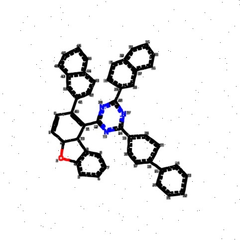 C1=CC2Oc3ccccc3C2C(c2nc(-c3ccc(-c4ccccc4)cc3)nc(-c3ccc4ccccc4c3)n2)=C1c1ccc2ccccc2c1